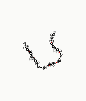 CN(C)CCNC(=O)c1ccc(-c2nc3cc(-c4ccc5[nH]c(-c6ccc(C(=O)NCCN(C)CCCCc7cn(CCCNC(=O)CCC(=O)NCCCn8cc(CCCCN(C)CCNC(=O)c9ccc(-c%10nc%11cc(-c%12ccc%13[nH]c(-c%14ccc(C(=O)NCCN(C)C)cc%14)nc%13c%12)ccc%11[nH]%10)cc9)nn8)nn7)cc6)nc5c4)ccc3[nH]2)cc1